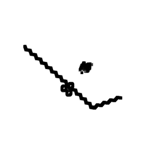 CCCCCCCC/C=C\CCCCCCCC(=O)OC(=O)CCCCCCCCCCCCCCCCC.[Ag].[Ag]